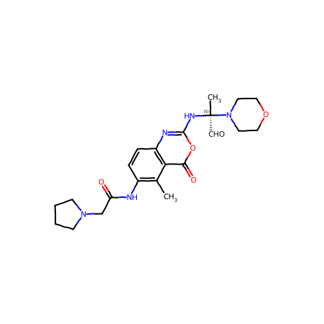 Cc1c(NC(=O)CN2CCCC2)ccc2nc(N[C@](C)(C=O)N3CCOCC3)oc(=O)c12